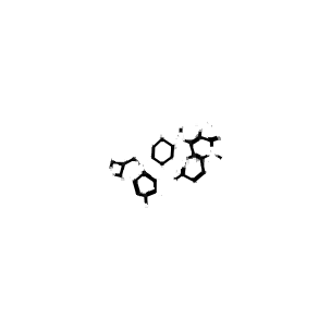 Cn1c(=O)c(C#N)c(N(C)[C@H]2CC[C@@H](N(CC3COC3)c3ccc(F)cc3)CC2)c2nc(Cl)ccc21